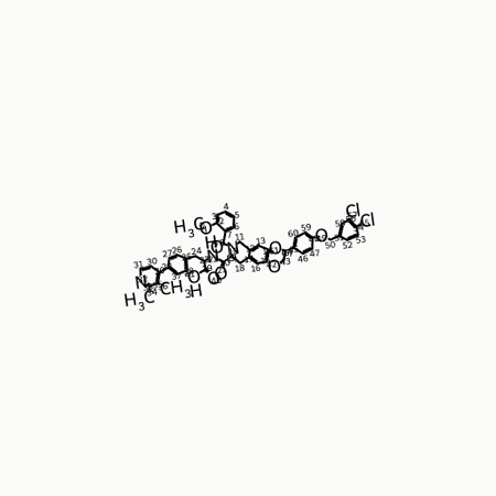 COc1ccccc1C(=O)N1Cc2cc3c(cc2C[C@H]1C(=O)NC(Cc1ccc(-c2ccnc(C)c2C)cc1)C(=O)O)OC[C@H](c1ccc(OCc2ccc(Cl)c(Cl)c2)cc1)O3